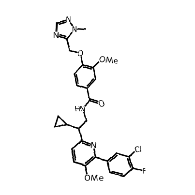 COc1cc(C(=O)NCC(c2ccc(OC)c(-c3ccc(F)c(Cl)c3)n2)C2CC2)ccc1OCc1ncnn1C